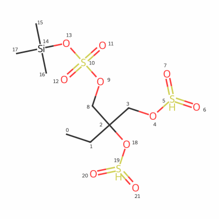 CCC(CO[SH](=O)=O)(COS(=O)(=O)O[Si](C)(C)C)O[SH](=O)=O